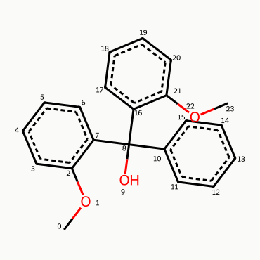 COc1ccccc1C(O)(c1ccccc1)c1ccccc1OC